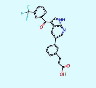 O=C(O)/C=C/c1cccc(-c2cnc3[nH]cc(C(=O)c4cccc(C(F)(F)F)c4)c3c2)c1